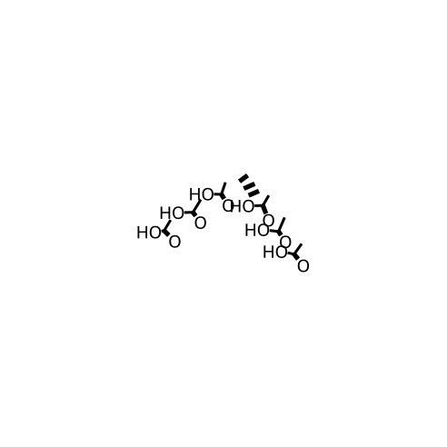 C=C.C=C.C=C.CC(=O)O.CC(=O)O.CC(=O)O.CC(=O)O.CC(=O)O.CC(=O)O